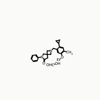 CCOc1cc(CN2CC3(CC(=O)N(c4ccccc4)C3)C2)c(C2CC2)cc1C.O=CO